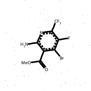 COC(=O)c1c(N)nc(C(F)(F)F)c(F)c1Br